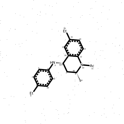 CCc1ccc(N[C@H]2C[C@@H](C)N(C(C)=O)c3ccc(CC)cc32)cc1